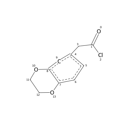 O=C(Cl)Cc1ccc2c(c1)OCCO2